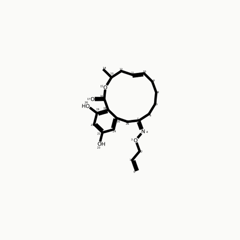 C=CCON=C1CCCC/C=C/CC(C)OC(=O)c2c(O)cc(O)cc2C1